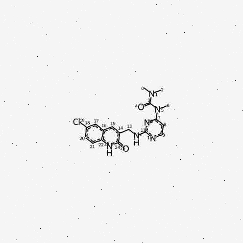 CN(C)C(=O)N(C)c1ccnc(NCc2cc3cc(Cl)ccc3[nH]c2=O)n1